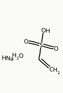 C=CS(=O)(=O)O.O.[NaH]